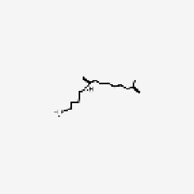 C=C(C)CCCCCCC(=C)NCCCCP